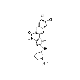 CN(C)C1CCCC(Nc2nc3c(c(=O)n(Cc4ccc(Cl)c(Cl)c4)c(=O)n3C)n2C)C1